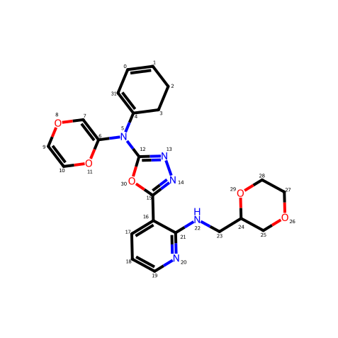 C1=CCCC(N(C2=COC=CO2)c2nnc(-c3cccnc3NCC3COCCO3)o2)=C1